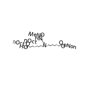 CCCCCCCCCOC(=O)CCCCCCCN(CCCCCCCC(O)OC(CCCCCCCC)CCCCCCCC)CCCNC(=O)NC